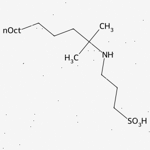 CCCCCCCCCCCC(C)(C)NCCCS(=O)(=O)O